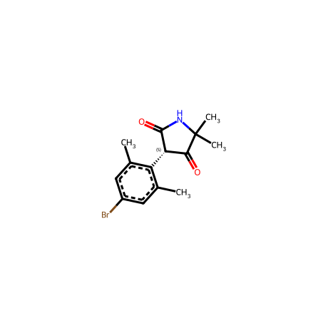 Cc1cc(Br)cc(C)c1[C@@H]1C(=O)NC(C)(C)C1=O